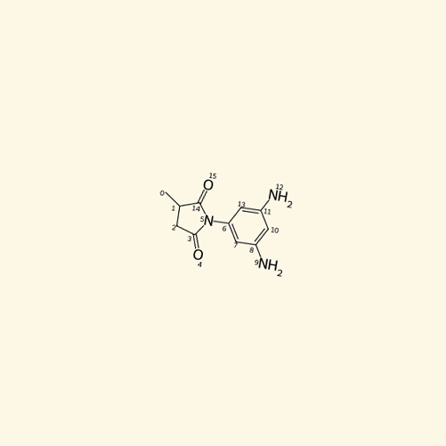 CC1CC(=O)N(c2cc(N)cc(N)c2)C1=O